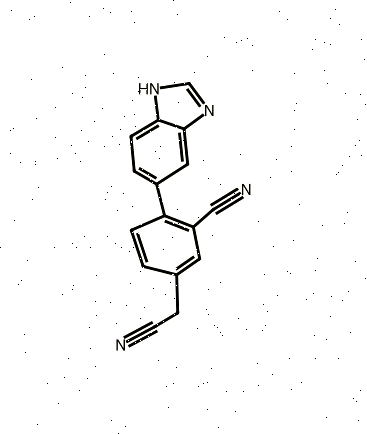 N#CCc1ccc(-c2ccc3[nH]cnc3c2)c(C#N)c1